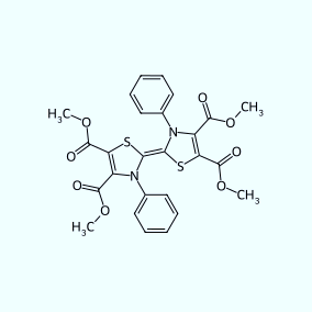 COC(=O)C1=C(C(=O)OC)N(c2ccccc2)/C(=C2\SC(C(=O)OC)=C(C(=O)OC)N2c2ccccc2)S1